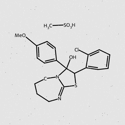 COc1ccc(C2(O)C(c3ccccc3Cl)SC3=NCCCCN32)cc1.CS(=O)(=O)O